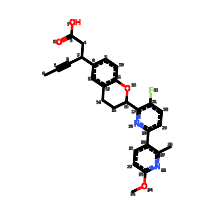 CC#CC(CC(=O)O)c1ccc2c(c1)CCC(c1nc(-c3ccc(OC)nc3C)ccc1F)O2